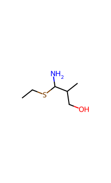 CCSC(N)C(C)CO